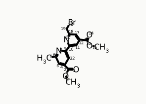 COC(=O)c1cc(C)nc(-c2cc(C(=O)OC)cc(CBr)n2)c1